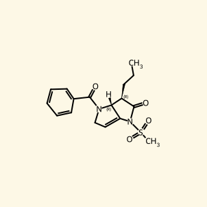 CCC[C@H]1C(=O)N(S(C)(=O)=O)C2=CCN(C(=O)c3ccccc3)[C@@H]21